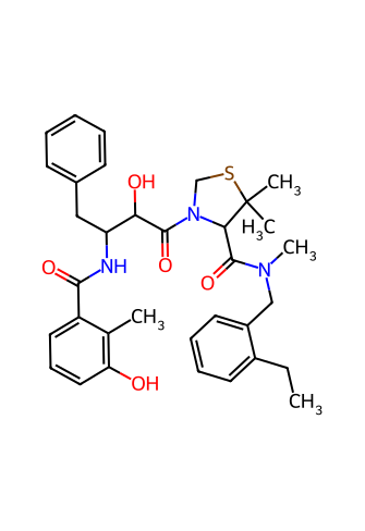 CCc1ccccc1CN(C)C(=O)C1N(C(=O)C(O)C(Cc2ccccc2)NC(=O)c2cccc(O)c2C)CSC1(C)C